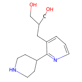 OCC(CO)Cc1cccnc1C1CCNCC1